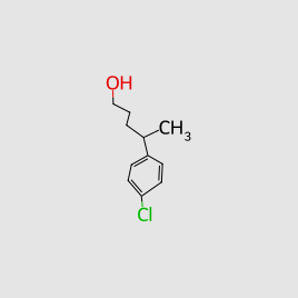 CC(CCCO)c1ccc(Cl)cc1